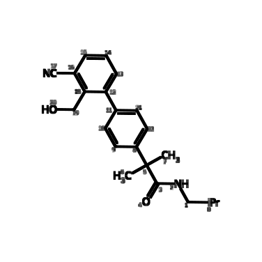 CC(C)CNC(=O)C(C)(C)c1ccc(-c2cccc(C#N)c2CO)cc1